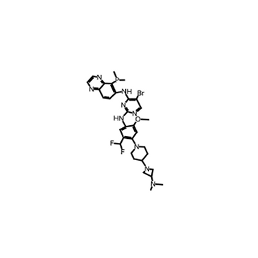 COc1cc(N2CCC(N3CC(N(C)C)C3)CC2)c(C(F)F)cc1Nc1ncc(Br)c(Nc2ccc3nccnc3c2P(C)C)n1